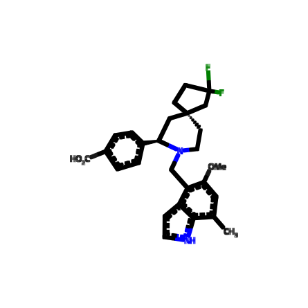 COc1cc(C)c2[nH]ccc2c1CN1CC[C@@]2(CCC(F)(F)C2)C[C@@H]1c1ccc(C(=O)O)cc1